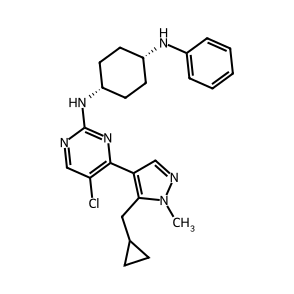 Cn1ncc(-c2nc(N[C@H]3CC[C@@H](Nc4ccccc4)CC3)ncc2Cl)c1CC1CC1